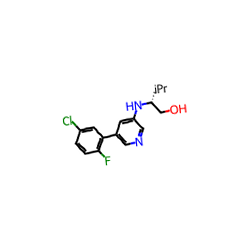 CC(C)[C@H](CO)Nc1cncc(-c2cc(Cl)ccc2F)c1